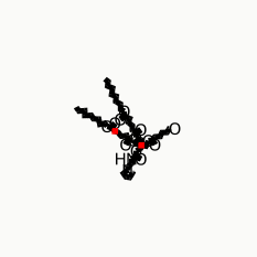 CCCCCCCCCOC(=O)CCCCC(=O)OCC(COC(=O)CCCCC=O)(COC(=O)CCCCC(=O)OCCCCCCCCC)COC(=O)NCCN1CCCC1